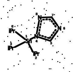 C[CH](C)[Sn]([CH](C)C)([CH](C)C)[n]1cncn1